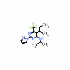 CCC(C)c1c(NC(C)C)nc(-n2cccn2)nc1C(F)(F)F